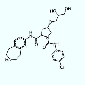 O=C(Nc1ccc2c(c1)CCNCC2)C1CC(OCC(O)CO)CN1C(=O)Nc1ccc(Cl)cc1